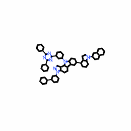 c1ccc(-c2cccc(-n3ncc4c3ccc3c5cc(-c6cccc7c6ccn7-c6ccc7ccccc7c6)ccc5n(-c5cccc(-c6nc(-c7ccccc7)nc(-c7ccccc7)n6)c5)c34)c2)cc1